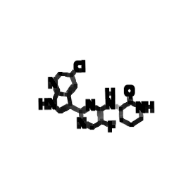 O=C1NCCC[C@@H]1Nc1nc(-c2c[nH]c3c2=CC(Cl)CN=3)ncc1F